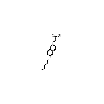 CCCCCOc1ccc2cc(C=CC(=O)O)ccc2c1